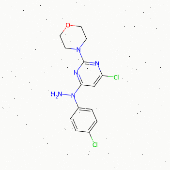 NN(c1ccc(Cl)cc1)c1cc(Cl)nc(N2CCOCC2)n1